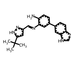 CC(C)(C)c1cc(/C=N/c2cc(-c3ccc4nc[nH]c4c3)ccc2N)n[nH]1